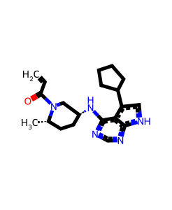 C=CC(=O)N1C[C@H](Nc2ncnc3[nH]cc(C4CCCC4)c23)CC[C@@H]1C